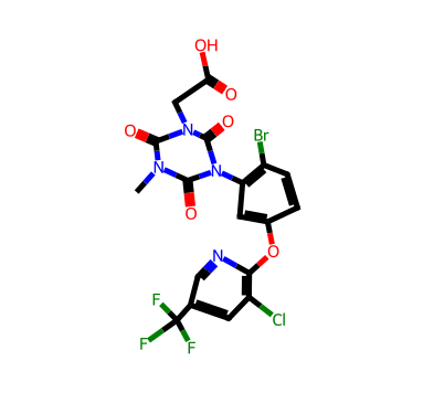 Cn1c(=O)n(CC(=O)O)c(=O)n(-c2cc(Oc3ncc(C(F)(F)F)cc3Cl)ccc2Br)c1=O